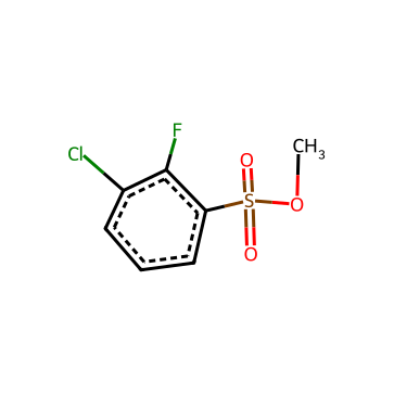 COS(=O)(=O)c1cccc(Cl)c1F